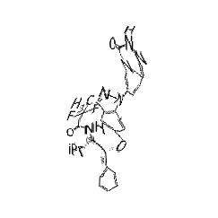 CC(C)[C@H](NC(=O)C(C)(F)F)[C@H](Oc1ccc2c(cnn2-c2ccc3n[nH]c(=O)n3c2)c1)c1ccccc1